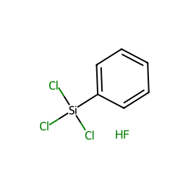 Cl[Si](Cl)(Cl)c1ccccc1.F